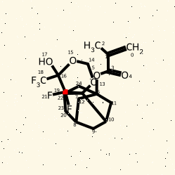 C=C(C)C(=O)OC12CC3CC(C1)C1(OCOC(O)(C(F)(F)F)C1(F)F)C(C3)C2